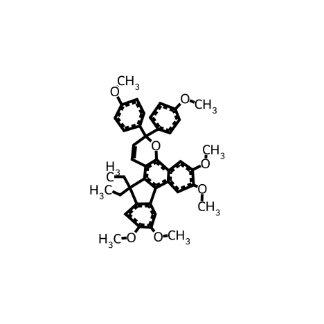 CCC1(CC)c2cc(OC)c(OC)cc2-c2c1c1c(c3cc(OC)c(OC)cc23)OC(c2ccc(OC)cc2)(c2ccc(OC)cc2)C=C1